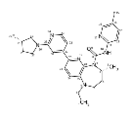 CCN1CC[C@@H](C)N(C(=O)Nc2ccc(F)cn2)c2nc(-c3ccnc(N4CC[C@H](F)C4)c3)ccc21